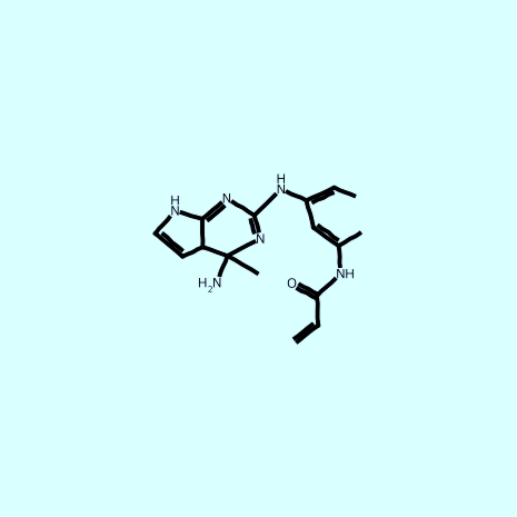 C=CC(=O)N/C(C)=C/C(=C\C)NC1=NC(C)(N)C2C=CNC2=N1